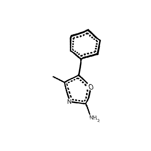 Cc1nc(N)oc1-c1ccccc1